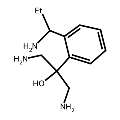 CCC(N)c1ccccc1C(O)(CN)CN